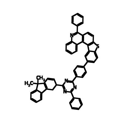 CC1(C)C2=C(CC(c3nc(-c4ccccc4)nc(-c4ccc(-c5ccc6sc7ccc8c(-c9ccccc9)nc9ccccc9c8c7c6c5)cc4)n3)C=C2)c2ccccc21